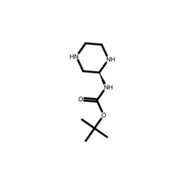 CC(C)(C)OC(=O)N[C@H]1CNCCN1